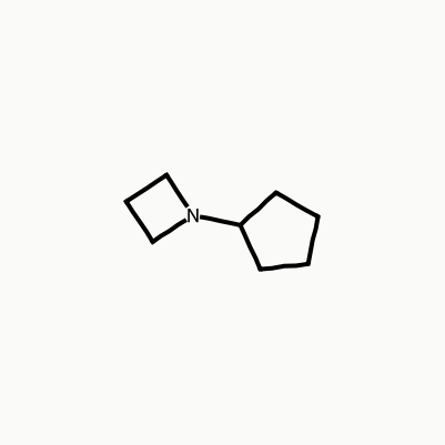 C1CCC(N2CCC2)C1